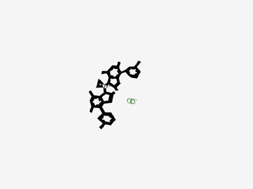 CC1=Cc2c(-c3cccc(C)c3)c(C)cc(C)c2[CH]1[Zr+2]1([CH]2C(C)=Cc3c(-c4cccc(C)c4)c(C)cc(C)c32)[CH2][CH2]1.[Cl-].[Cl-]